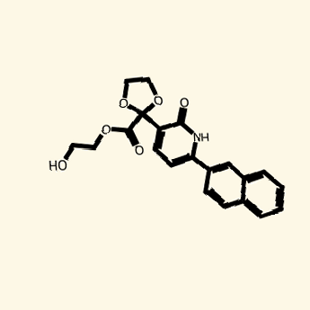 O=C(OCCO)C1(c2ccc(-c3ccc4ccccc4c3)[nH]c2=O)OCCO1